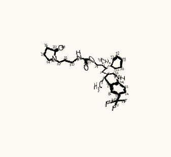 C[C@H](CC[C@@H]1[C@H](C)c2cc(C(F)(F)F)ccc2N[C@H]1C1C=CC=CC1)COC(=O)NCCCN1CCCC1=O